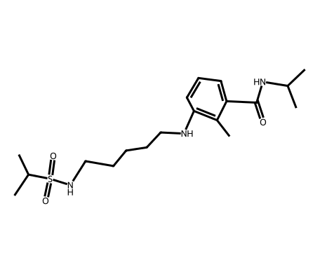 Cc1c(NCCCCCNS(=O)(=O)C(C)C)cccc1C(=O)NC(C)C